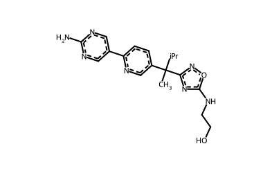 CC(C)C(C)(c1ccc(-c2cnc(N)nc2)nc1)c1noc(NCCO)n1